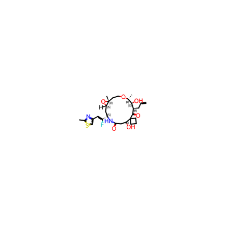 C=CC[C@H]1C(=O)C2(CCC2)[C@@H](O)CC(=O)N[C@H](C(F)=Cc2csc(C)n2)C[C@@H]2O[C@]2(C)CCO[C@H](C)[C@H]1O